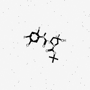 CN(C(=O)[C@@H]1C[C@](C)(O)CN1C(=O)OC(C)(C)C)c1cc(Cl)c(F)cc1F